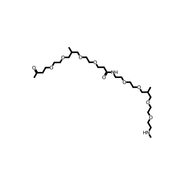 CNCCOCCOCC(C)COCCOCCNC(=O)CCOCCOCC(C)COCCOCCC(C)=O